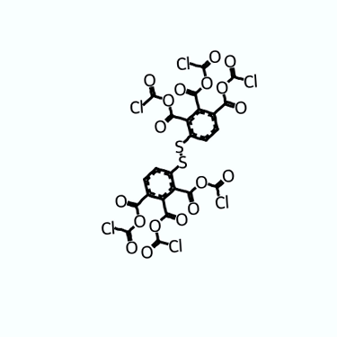 O=C(Cl)OC(=O)c1ccc(SSc2ccc(C(=O)OC(=O)Cl)c(C(=O)OC(=O)Cl)c2C(=O)OC(=O)Cl)c(C(=O)OC(=O)Cl)c1C(=O)OC(=O)Cl